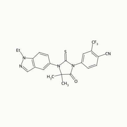 CCn1ncc2cc(N3C(=S)N(c4ccc(C#N)c(C(F)(F)F)c4)C(=O)C3(C)C)ccc21